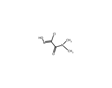 CN(C)C(=O)/C(Cl)=N/O